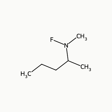 CCCC(C)N(C)F